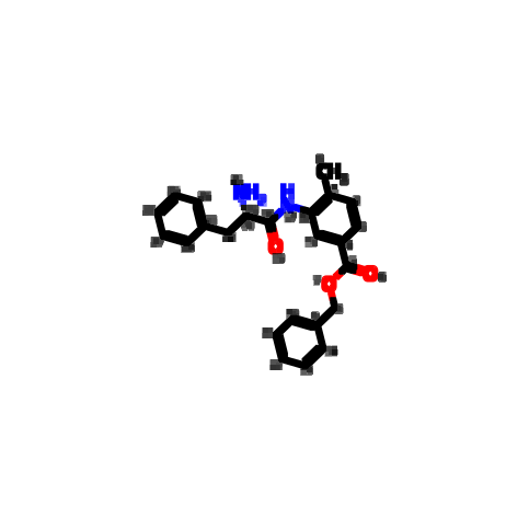 Cc1ccc(C(=O)OCc2ccccc2)cc1NC(=O)[C@@H](N)Cc1ccccc1